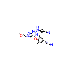 COCCn1cc2c(Oc3c(C)cc(/C=C/C#N)cc3C)nc(NC34CC(C#N)(C3)C4)nc2n1